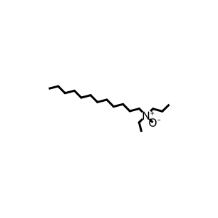 CCCCCCCCCCCC[N+]([O-])(CC)CCC